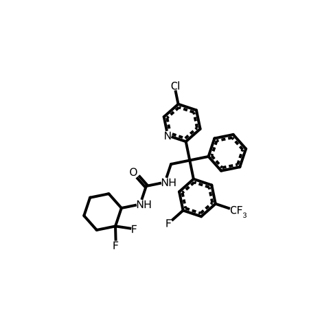 O=C(NCC(c1ccccc1)(c1cc(F)cc(C(F)(F)F)c1)c1ccc(Cl)cn1)NC1CCCCC1(F)F